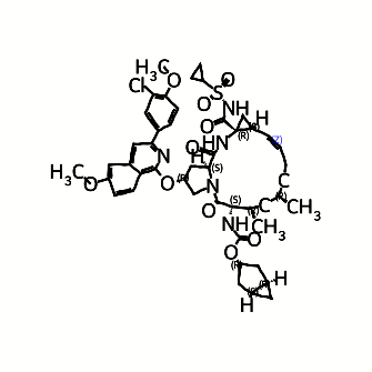 COc1ccc2c(O[C@@H]3C[C@H]4C(=O)N[C@]5(C(=O)NS(=O)(=O)C6CC6)C[C@H]5/C=C\CC[C@@H](C)C[C@@H](C)[C@H](NC(=O)O[C@@H]5C[C@@H]6C[C@@H]6C5)C(=O)N4C3)nc(-c3ccc(OC)c(Cl)c3)cc2c1